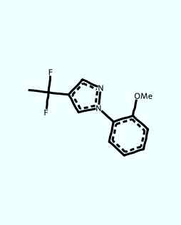 COc1ccccc1-n1cc(C(C)(F)F)cn1